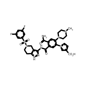 CN1CCN(c2cc(C(N)=O)c(C(=O)Nc3n[nH]c4c3CN(S(=O)(=O)c3cc(F)cc(F)c3)CC4)cc2-n2ccc(C(=O)O)c2)CC1